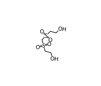 O=S(=O)(CCO)CS(=O)(=O)CCO